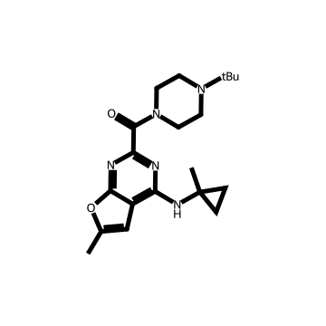 Cc1cc2c(NC3(C)CC3)nc(C(=O)N3CCN(C(C)(C)C)CC3)nc2o1